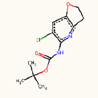 CC(C)(C)OC(=O)Nc1nc2c(cc1Cl)OCC2